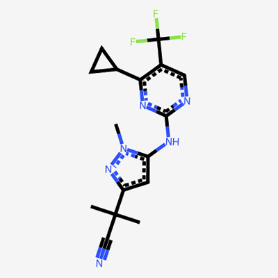 Cn1nc(C(C)(C)C#N)cc1Nc1ncc(C(F)(F)F)c(C2CC2)n1